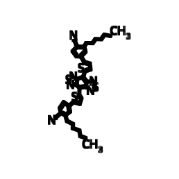 CCCCCCCc1cc(-c2ccc(-c3c4c(c(-c5ccc(-c6ccc(C#N)c(CCCCCCC)c6)s5)c5nsnc35)N=S=N4)s2)ccc1C#N